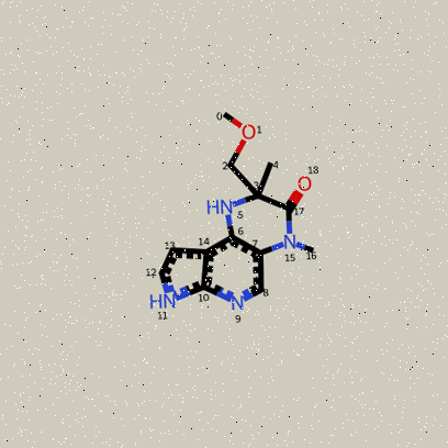 COCC1(C)Nc2c(cnc3[nH]ccc23)N(C)C1=O